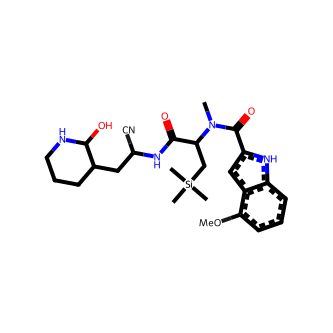 COc1cccc2[nH]c(C(=O)N(C)C(C[Si](C)(C)C)C(=O)NC(C#N)CC3CCCNC3O)cc12